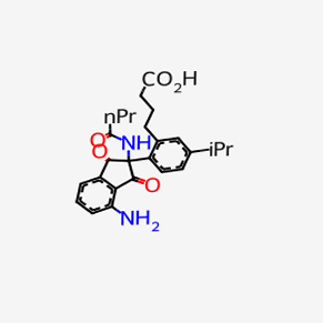 CCCC(=O)NC1(c2ccc(C(C)C)cc2CCCC(=O)O)C(=O)c2cccc(N)c2C1=O